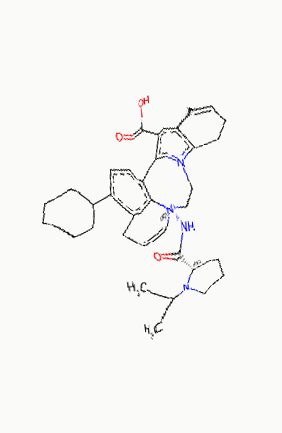 CC(C)N1CCC[C@H]1C(=O)N[N@+]12C=CCc3c(C4CCCCC4)ccc(c31)-c1c(C(=O)O)c3c(n1CC2)CCC=C3